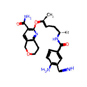 CC[C@@H](CC[C@H](C)Oc1nc2c(cc1C(N)=O)COCC2)NC(=O)c1ccc(N)c(C=N)c1